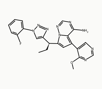 CC[C@@H](c1cn(-c2ccccc2F)nn1)c1cc(-c2cncnc2OC)c2c(N)ncnn12